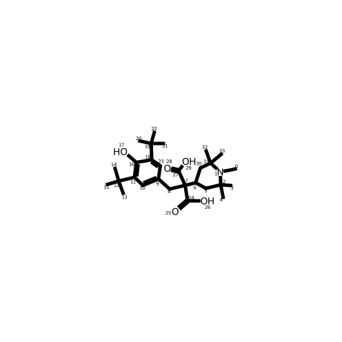 CN1C(C)(C)CC(C(Cc2cc(C(C)(C)C)c(O)c(C(C)(C)C)c2)(C(=O)O)C(=O)O)CC1(C)C